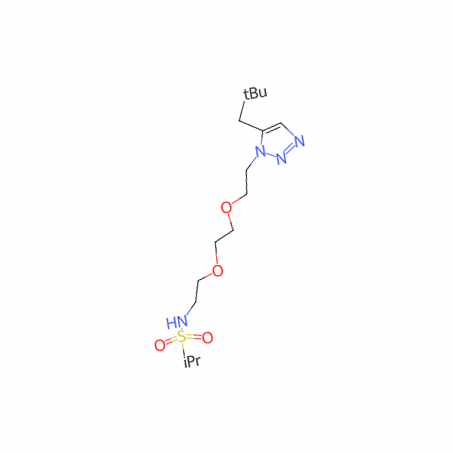 CC(C)S(=O)(=O)NCCOCCOCCn1nncc1CC(C)(C)C